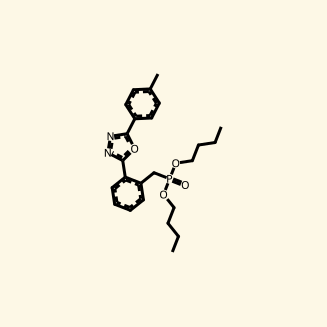 CCCCOP(=O)(Cc1ccccc1-c1nnc(-c2ccc(C)cc2)o1)OCCCC